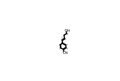 N#Cc1ccc(/C=C/CCO)cc1